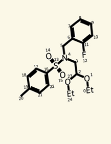 CCOC(CN(Cc1ccccc1F)S(=O)(=O)c1ccc(C)cc1)OCC